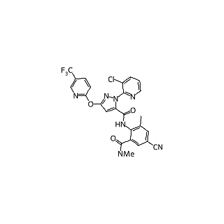 CNC(=O)c1cc(C#N)cc(C)c1NC(=O)c1cc(Oc2ccc(C(F)(F)F)cn2)nn1-c1ncccc1Cl